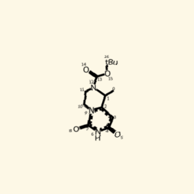 CC1c2cc(=O)[nH]c(=O)n2CCN1C(=O)OC(C)(C)C